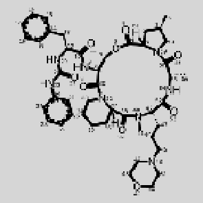 C[C@@H]1C[C@H]2C(=O)OC[C@H](NC(=O)[C@H](Cc3ccccc3)NC(=O)Nc3ccccc3)C(=O)N3CCCC[C@H]3C(=O)N(C)[C@@H](CCCN3CCOCC3)C(=O)N[C@@H](C)C(=O)N2C1